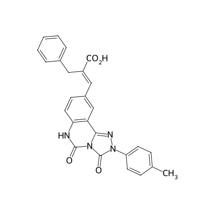 Cc1ccc(-n2nc3c4cc(/C=C(\Cc5ccccc5)C(=O)O)ccc4[nH]c(=O)n3c2=O)cc1